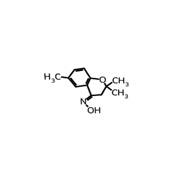 Cc1ccc2c(c1)/C(=N/O)CC(C)(C)O2